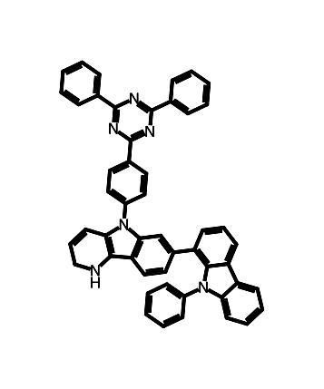 C1=Cc2c(c3ccc(-c4cccc5c6ccccc6n(-c6ccccc6)c45)cc3n2-c2ccc(-c3nc(-c4ccccc4)nc(-c4ccccc4)n3)cc2)NC1